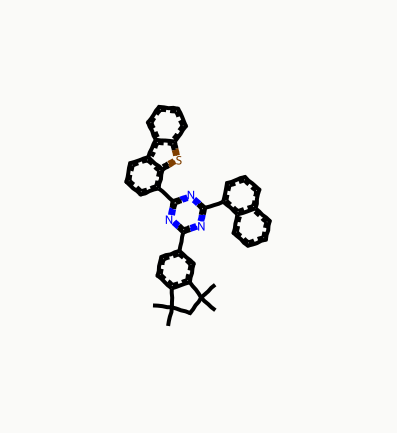 CC1(C)CC(C)(C)c2cc(-c3nc(-c4cccc5ccccc45)nc(-c4cccc5c4sc4ccccc45)n3)ccc21